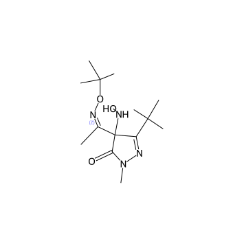 C/C(=N/OC(C)(C)C)C1(NO)C(=O)N(C)N=C1C(C)(C)C